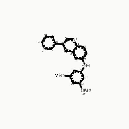 COc1cc(Nc2ccc3ncc(-c4cccnc4)cc3c2)cc(OC)c1